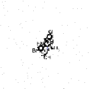 N.O=C(O)CO/N=C(\c1c(-c2cc3cc(Cl)ccc3[nH]2)[nH]c2cc(Br)ccc12)C(F)(F)F